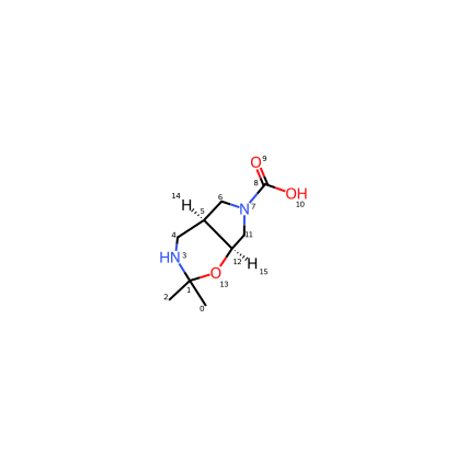 CC1(C)NC[C@H]2CN(C(=O)O)C[C@H]2O1